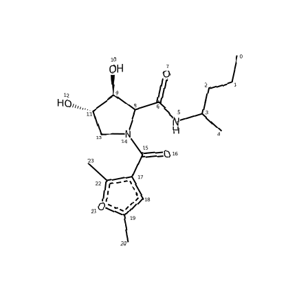 CCCC(C)NC(=O)C1[C@H](O)[C@@H](O)CN1C(=O)c1cc(C)oc1C